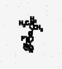 CC(N)CC(C)COc1ccc(-c2ccnc3ccnn23)nc1CF